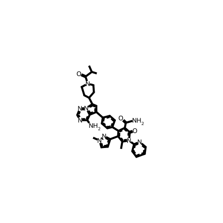 Cc1c(-c2ccn(C)n2)c(-c2ccc(-c3cc(C4CCN(C(=O)C(C)C)CC4)n4ncnc(N)c34)cc2)c(C(N)=O)c(=O)n1-c1ccccn1